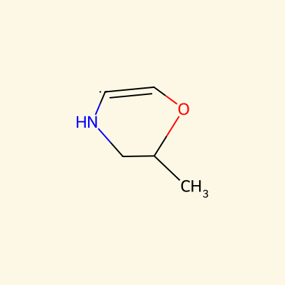 CC1CN[C]=CO1